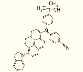 CC(C)(C)c1ccc(N(c2ccc(C#N)cc2)c2ccc3ccc4c(N5CCc6ccccc65)ccc5ccc2c3c54)cc1